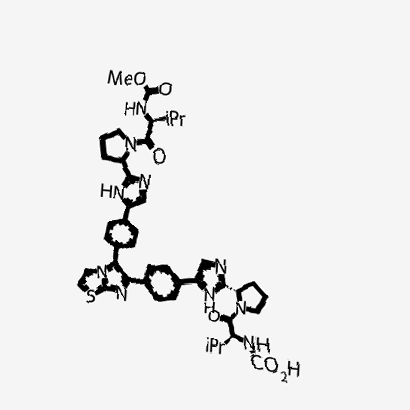 COC(=O)N[C@H](C(=O)N1CCCC1c1ncc(-c2ccc(-c3c(-c4ccc(-c5cnc([C@@H]6CCCN6C(=O)[C@@H](NC(=O)O)C(C)C)[nH]5)cc4)nc4sccn34)cc2)[nH]1)C(C)C